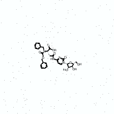 O=C(C[C@@H](C(=O)O)N(Cc1ccccc1)C(=O)OCc1ccccc1)Nc1ccn([C@@H]2O[C@H](CO)[C@@H](O)[C@@H]2O)c(=O)n1